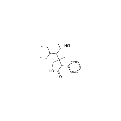 CCC(N(CC)CC)C(C)(CC)C(C(=O)O)c1ccccc1.Cl